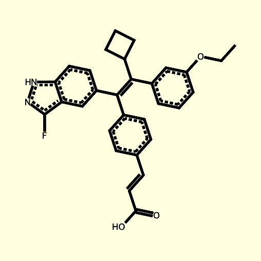 CCOc1cccc(/C(=C(\c2ccc(/C=C/C(=O)O)cc2)c2ccc3[nH]nc(F)c3c2)C2CCC2)c1